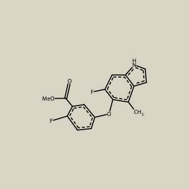 COC(=O)c1cc(Oc2c(F)cc3[nH]ccc3c2C)ccc1F